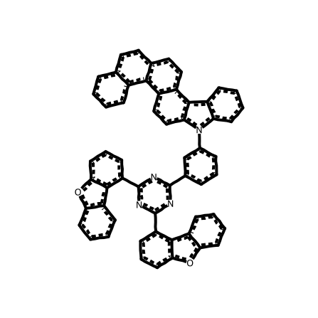 c1cc(-c2nc(-c3cccc4oc5ccccc5c34)nc(-c3cccc4oc5ccccc5c34)n2)cc(-n2c3ccccc3c3c4ccc5ccc6ccccc6c5c4ccc32)c1